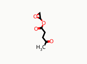 CC(=O)CCC(=O)OC1CO1